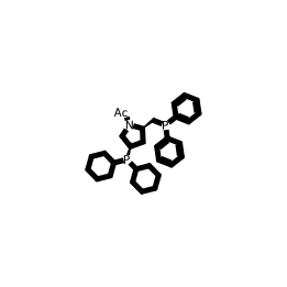 CC(=O)N1C[C@H](P(C2CCCCC2)C2CCCCC2)C[C@@H]1CP(c1ccccc1)c1ccccc1